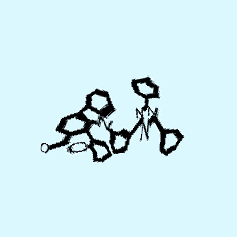 O=c1oc2ccccc2c2c1ccc1c3ccccc3n(-c3cccc(-c4nc(-c5ccccc5)nc(-c5ccccc5)n4)c3)c12